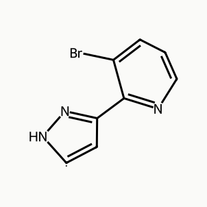 Brc1cccnc1-c1c[c][nH]n1